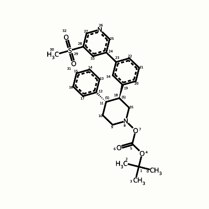 CC(C)(C)OC(=O)ON1CC[C@H](c2ccccc2)[C@@H](c2cccc(-c3cncc(S(C)(=O)=O)c3)c2)C1